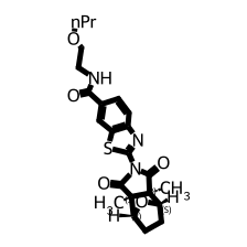 CCCOCCNC(=O)c1ccc2nc(N3C(=O)[C@@]4(C)[C@@H]5CC[C@@H](O5)[C@@]4(C)C3=O)sc2c1